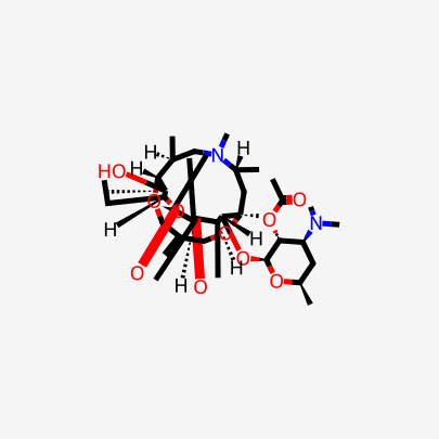 C=C1CO[C@@H]2[C@@H](C)CN(C)[C@H](C)C[C@@](C)(OC1)[C@H](O[C@@H]1O[C@H](C)C[C@H](N(C)C)[C@H]1OC(C)=O)[C@@H](C)C(=O)[C@@H](C)C(=O)O[C@H](CC)[C@@]2(C)O